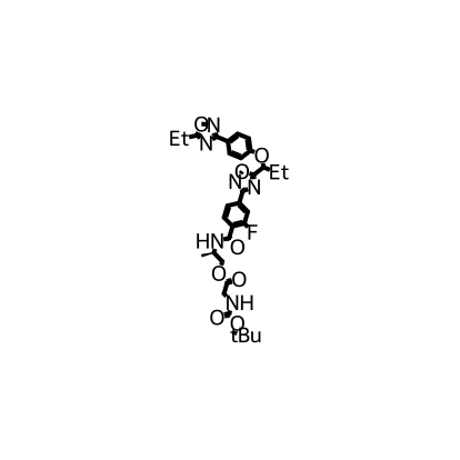 CCc1nc(-c2ccc(OC(CC)c3nc(-c4ccc(C(=O)N[C@H](C)COC(=O)CNC(=O)OC(C)(C)C)c(F)c4)no3)cc2)no1